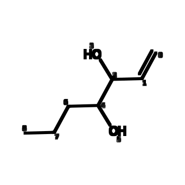 C=CC(O)C(O)CCC